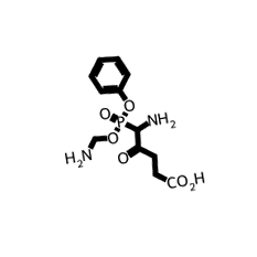 NCOP(=O)(Oc1ccccc1)C(N)C(=O)CCC(=O)O